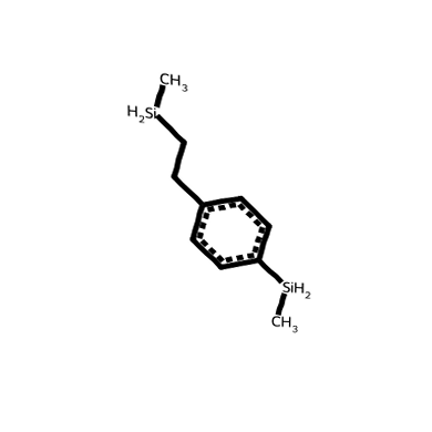 C[SiH2]CCc1ccc([SiH2]C)cc1